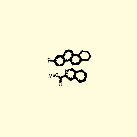 COC(=O)c1cc2ccccc2cn1.Fc1ccc2c(ccc3c4c(ccc32)CCCC4)c1